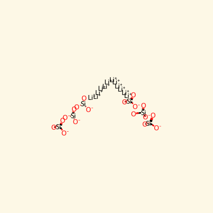 O=[Si]([O-])[O-].O=[Si]([O-])[O-].O=[Si]([O-])[O-].O=[Si]([O-])[O-].O=[Si]([O-])[O-].O=[Si]([O-])[O-].[Li+].[Li+].[Li+].[Li+].[Li+].[Li+].[Li+].[Li+].[Li+].[Li+].[Li+].[Li+]